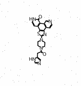 O=C(Cc1cnc[nH]1)N1CCN(c2nc3c4ccncc4c4c(=O)[nH]ccc4c3s2)CC1